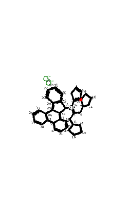 C1=CC[C]([Zr+2](=[C](CC2CCCC2)CC2CCCC2)[CH]2C3C=CC=CC3C3C4C=CC=CC4C4C=CC=CC4C32)=C1.[Cl-].[Cl-]